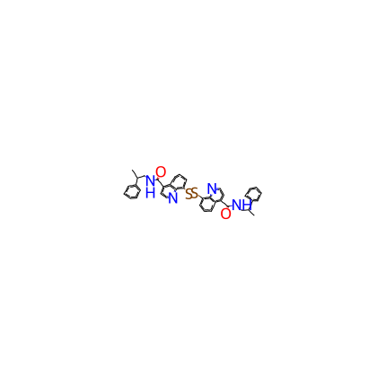 CC(CNC(=O)c1ccnc2c(SSc3cccc4c(C(=O)NCC(C)c5ccccc5)ccnc34)cccc12)c1ccccc1